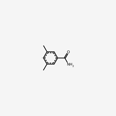 Cc1[c]c(C)cc(C(N)=O)c1